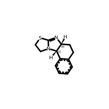 c1ccc2c(c1)CC[C@H]1N=C3SCCN3[C@@H]21